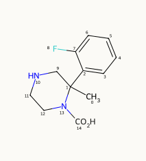 CC1(c2ccccc2F)CNCCN1C(=O)O